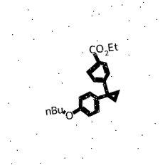 CCCCOc1ccc(C2(c3ccc(C(=O)OCC)cc3)CC2)cc1